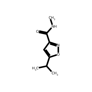 CNC(=O)c1cc(C(C)C)on1